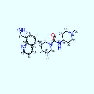 C[C@@H]1C[C@H](c2ccc(CN)c3ncccc23)CN(C(=O)NC2CCN(C)CC2)C1